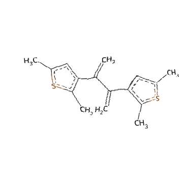 C=C(C(=C)c1cc(C)sc1C)c1cc(C)sc1C